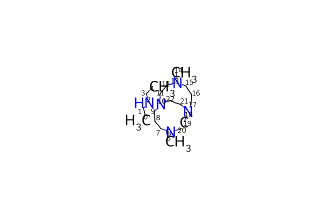 CCNCC.CN1CCCN2CCN(C)CCCN(CC1)CC2